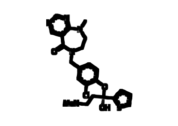 CNCC[C@@](O)(Oc1ccc(CN2CCN(C)c3ncncc3C2=O)cc1Cl)c1cccs1